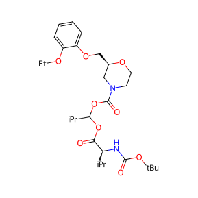 CCOc1ccccc1OC[C@@H]1CN(C(=O)OC(OC(=O)[C@@H](NC(=O)OC(C)(C)C)C(C)C)C(C)C)CCO1